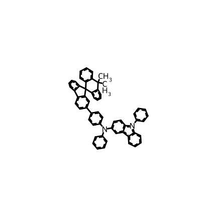 CC1(C)c2ccccc2C2(c3ccccc3-c3ccc(-c4ccc(N(c5ccccc5)c5ccc6c(c5)c5ccccc5n6-c5ccccc5)cc4)cc32)c2ccccc21